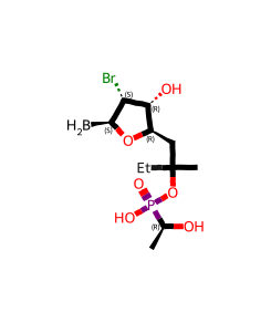 B[C@@H]1O[C@H](CC(C)(CC)OP(=O)(O)[C@H](C)O)[C@@H](O)[C@H]1Br